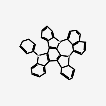 C1=CCCC(n2c3ccccc3c3c2c2c(c4c5ccccc5n(C5=CCCC=C5)c43)C3C=CC=CC3N2c2ccccc2)=C1